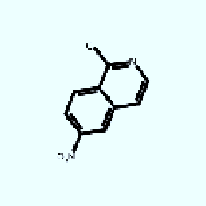 O=[N+]([O-])c1ccc2c(Cl)nccc2c1